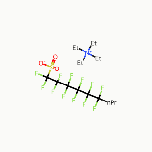 CCCC(F)(F)C(F)(F)C(F)(F)C(F)(F)C(F)(F)C(F)(F)S(=O)(=O)[O-].CC[N+](CC)(CC)CC